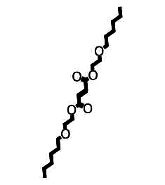 CCCCCCOCCOC(=O)/C=C/C(=O)OCCOCCCCCC